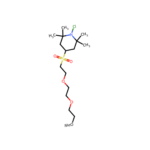 COCCOCCOCCS(=O)(=O)C1CC(C)(C)N(Cl)C(C)(C)C1